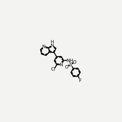 O=S(=O)(Nc1cc(-c2c[nH]c3ncccc23)cc(Cl)n1)c1ccc(F)cc1